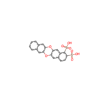 O=S(=O)(O)c1ccc2cc3c(cc2c1S(=O)(=O)O)Oc1cc2ccccc2cc1O3